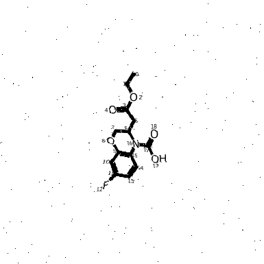 CCOC(=O)CC1COc2cc(F)ccc2N1C(=O)O